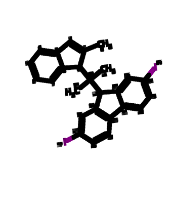 CC1=Cc2ccccc2C1C(C)(C)C1c2cc(I)ccc2-c2ccc(I)cc21